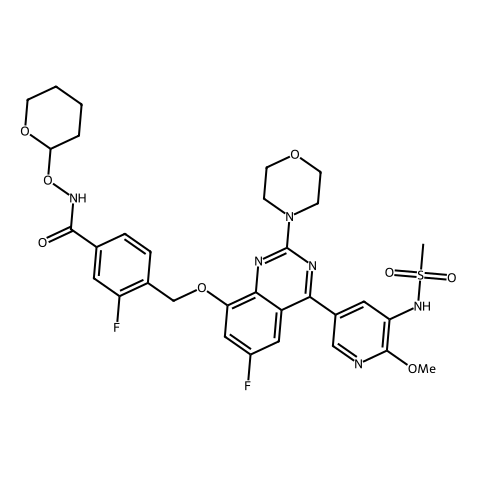 COc1ncc(-c2nc(N3CCOCC3)nc3c(OCc4ccc(C(=O)NOC5CCCCO5)cc4F)cc(F)cc23)cc1NS(C)(=O)=O